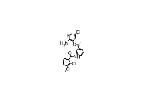 COc1cccc(C(=O)Nc2cccc([C@@H](C)Oc3cc(Cl)cnc3N)c2)c1Cl